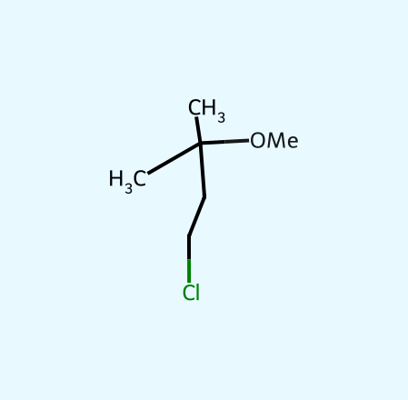 COC(C)(C)CCCl